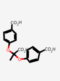 CC(Oc1ccc(C(=O)O)cc1)(Oc1ccc(C(=O)O)cc1)C(=O)O